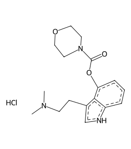 CN(C)CCc1c[nH]c2cccc(OC(=O)N3CCOCC3)c12.Cl